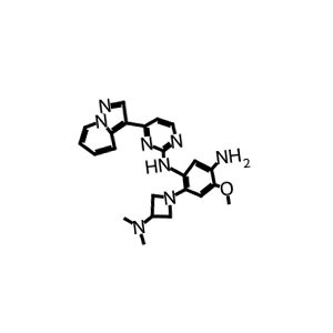 COc1cc(N2CC(N(C)C)C2)c(Nc2nccc(-c3cnn4ccccc34)n2)cc1N